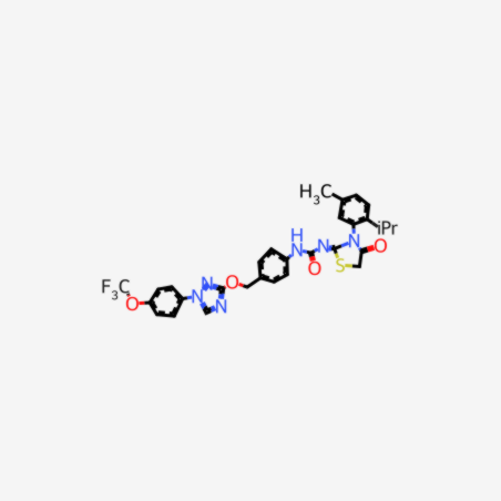 Cc1ccc(C(C)C)c(N2C(=O)CSC2=NC(=O)Nc2ccc(COc3ncn(-c4ccc(OC(F)(F)F)cc4)n3)cc2)c1